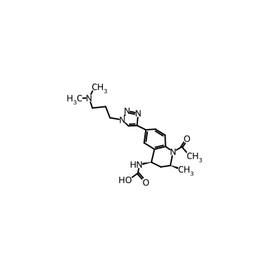 CC(=O)N1c2ccc(-c3cn(CCCN(C)C)nn3)cc2[C@H](NC(=O)O)C[C@@H]1C